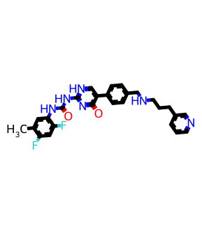 Cc1cc(NC(=O)Nc2nc(=O)c(-c3ccc(CNCCCc4cccnc4)cc3)c[nH]2)c(F)cc1F